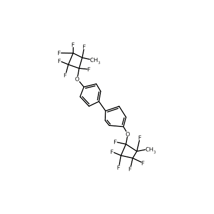 CC1(F)C(F)(F)C(F)(F)C1(F)Oc1ccc(-c2ccc(OC3(F)C(C)(F)C(F)(F)C3(F)F)cc2)cc1